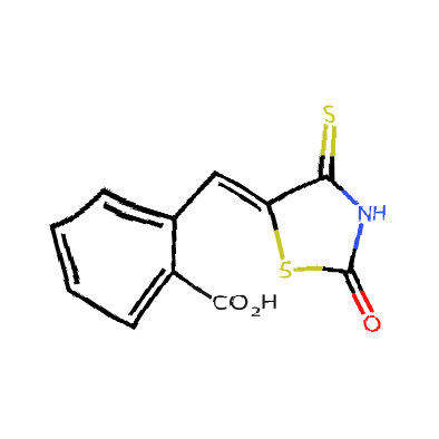 O=C1NC(=S)C(=Cc2ccccc2C(=O)O)S1